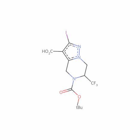 CC(C)(C)OC(=O)N1Cc2c(C(=O)O)c(I)nn2CC1C(F)(F)F